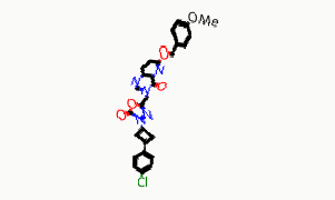 COc1ccc(COc2ccc3ncn(Cc4nn([C@H]5C[C@H](c6ccc(Cl)cc6)C5)c(=O)o4)c(=O)c3n2)cc1